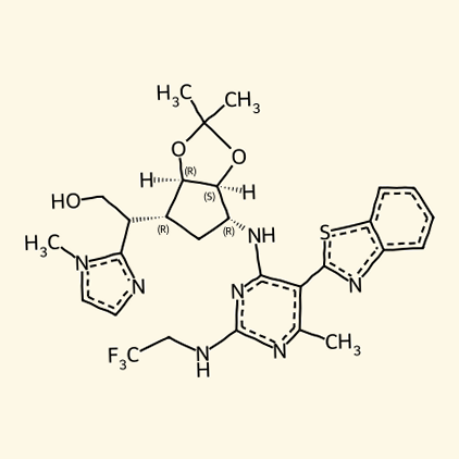 Cc1nc(NCC(F)(F)F)nc(N[C@@H]2C[C@H](C(CO)c3nccn3C)[C@H]3OC(C)(C)O[C@H]32)c1-c1nc2ccccc2s1